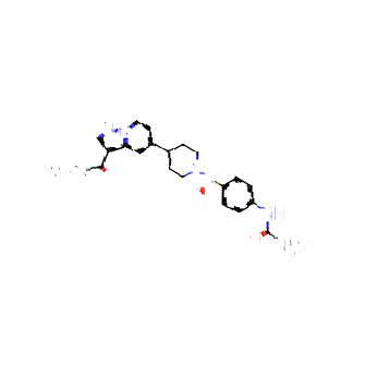 CNC(=O)Nc1ccc(S(=O)(=O)N2CCC(c3ccn4ncc(C(=O)NC)c4c3)CC2)cc1